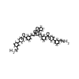 NCc1cccc(C2CCN(C(=O)c3cccc(C=CB4OC(=O)[C@@](COc5cccc(C(=O)N6CCC(c7cccc(CN)c7)CC6)c5)(C5CCCC5)O4)c3)CC2)c1